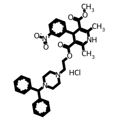 COC(=O)C1=C(C)NC(C)=C(C(=O)OCCN2CCN(C(c3ccccc3)c3ccccc3)CC2)C1c1cccc([N+](=O)[O-])c1.Cl